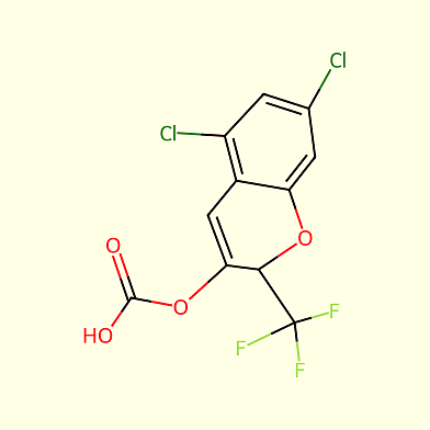 O=C(O)OC1=Cc2c(Cl)cc(Cl)cc2OC1C(F)(F)F